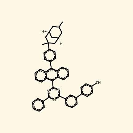 CC1C[C@@H]2C[C@H](C1)CC(C)(c1ccc(-c3c4ccccc4c(-c4nc(-c5ccccc5)nc(-c5cccc(-c6ccc(C#N)cc6)c5)n4)c4ccccc34)cc1)C2